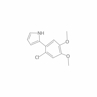 COc1cc(Cl)c(-c2ccc[nH]2)cc1OC